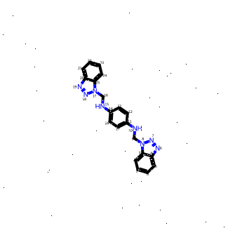 c1ccc2c(c1)nnn2CNc1ccc(NCn2nnc3ccccc32)cc1